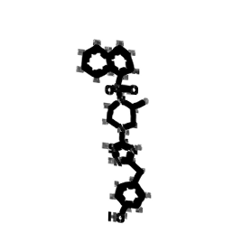 CC1CN(c2nc(Cc3ccc(O)cc3)ns2)CCN1S(=O)(=O)c1cccc2ccccc12